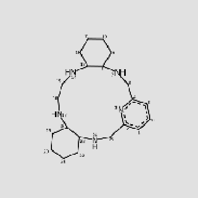 c1cc2nc(c1)CNC1CCCCC1NCCNC1CCCCC1NC2